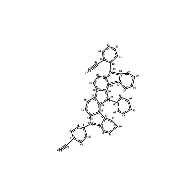 N#Cc1ccc(-n2c3ccccc3c3c2ccc2c4ccc5c(c6ccccc6n5-c5ccccc5C#N)c4n(-c4ccccc4)c23)cc1